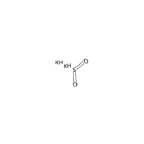 O=S=O.[KH].[KH]